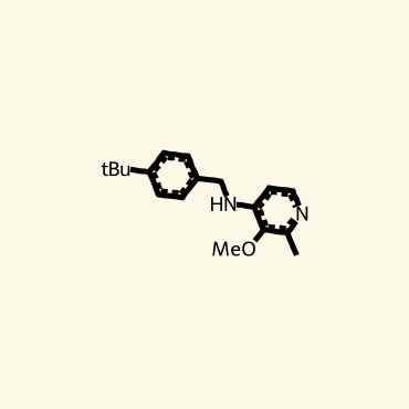 COc1c(NCc2ccc(C(C)(C)C)cc2)ccnc1C